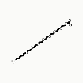 CCCCCCOCCOCCOCCOCCOCCOCCOCCOC(=O)Cl